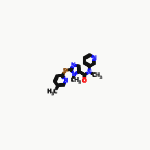 Cc1ccc(Sc2ncc(C(=O)N(C)c3cccnc3)n2C)nc1